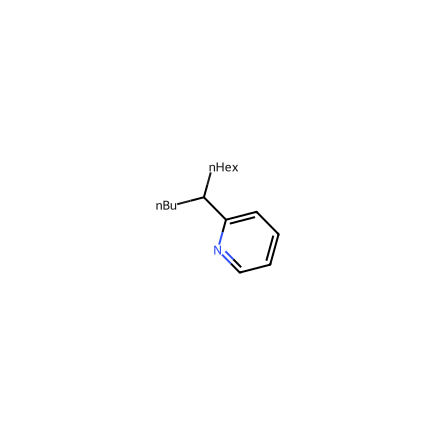 CCCCCCC(CCCC)c1ccccn1